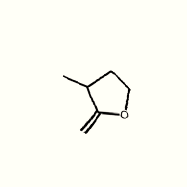 C=C1OCCC1C